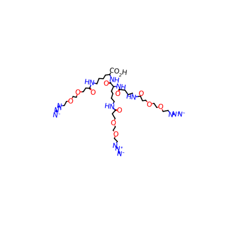 [N-]=[N+]=NCCOCCOCCC(=O)NCCCCC(NC(=O)C(CCCCNC(=O)CCOCCOCCN=[N+]=[N-])NC(=O)CCCNC(=O)CCOCCOCCN=[N+]=[N-])C(=O)O